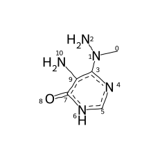 CN(N)c1nc[nH]c(=O)c1N